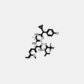 C=C(/C=C\C(=C/C)OC)[C@H](NC(=O)[C@H](C)NC(=O)C(c1ccc(Cl)cc1)C1CC1)C(=O)N[C@H](C(=O)C(F)(F)F)C(C)C